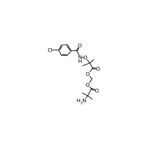 CC(C)(N)C(=O)OCOC(=O)C(C)(C)ONC(=O)c1ccc(Cl)cc1